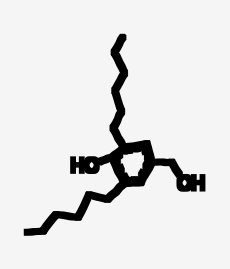 CCCCCCc1cc(CO)cc(CCCCCC)c1O